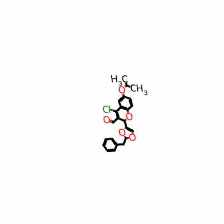 CC(C)Oc1ccc2c(c1)C(Cl)=C(C=O)C(C1=COC(Cc3ccccc3)O1)O2